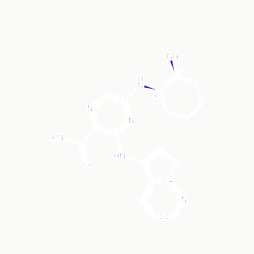 NC(=O)c1ncc(N[C@@H]2CCCC[C@@H]2N)nc1Nc1csc2ncccc12